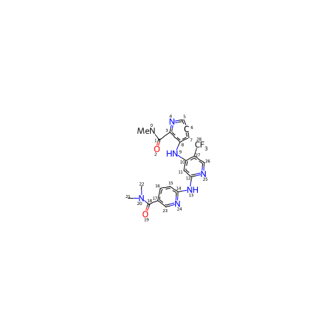 CNC(=O)c1ncccc1Nc1cc(Nc2ccc(C(=O)N(C)C)cn2)ncc1C(F)(F)F